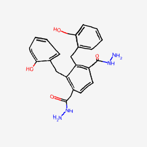 NNC(=O)c1ccc(C(=O)NN)c(Cc2ccccc2O)c1Cc1ccccc1O